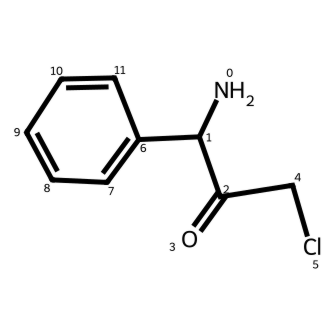 NC(C(=O)CCl)c1ccccc1